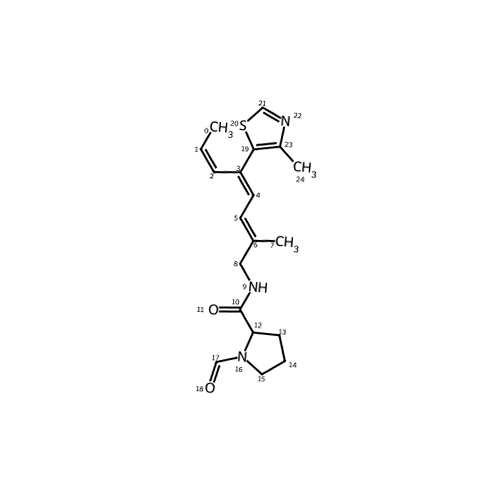 C\C=C/C(=C\C=C(/C)CNC(=O)C1CCCN1C=O)c1scnc1C